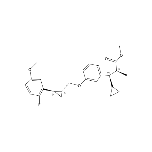 COC(=O)[C@@H](C)[C@H](c1cccc(OC[C@@H]2C[C@H]2c2cc(OC)ccc2F)c1)C1CC1